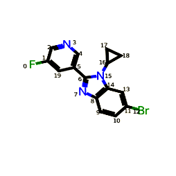 Fc1cncc(-c2nc3ccc(Br)cc3n2C2CC2)c1